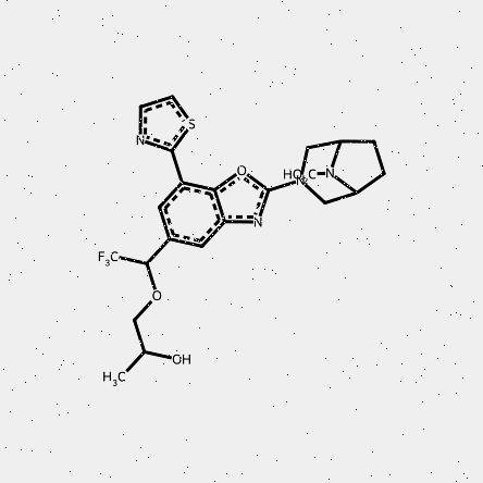 CC(O)COC(c1cc(-c2nccs2)c2oc(N3CC4CCC(C3)N4C(=O)O)nc2c1)C(F)(F)F